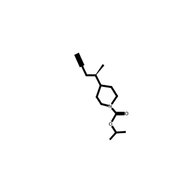 C#CC[C@@H](C)C1CCN(C(=O)OC(C)C)CC1